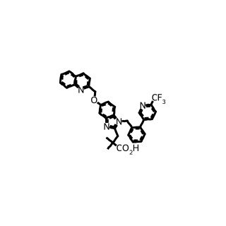 CC(C)(Cc1nc2cc(OCc3ccc4ccccc4n3)ccc2n1Cc1ccccc1-c1ccc(C(F)(F)F)nc1)C(=O)O